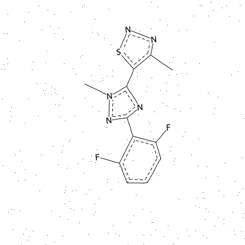 Cc1nnsc1-c1nc(-c2c(F)cccc2F)nn1C